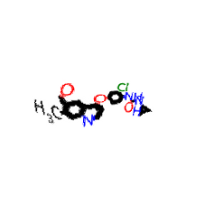 Cc1cc2nccc(Oc3ccc(NC(=O)NC4CC4)c(Cl)c3)c2cc1C=O